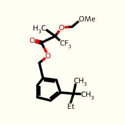 CCC(C)(C)c1cccc(COC(=O)C(C)(OCOC)C(F)(F)F)c1